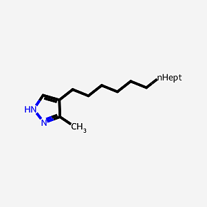 CCCCCCCCCCCCCc1c[nH]nc1C